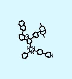 CC1CC2CC(C)CC(c3ccc(-c4cc(-c5nc(-c6ccccc6)nc(-c6ccc(-c7ccncc7)cc6)n5)cc5c4oc4c(-c6ccc7ccccc7c6)cccc45)cc3)(C1)C2